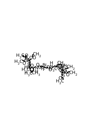 C=CCOC(=O)C(COCNC(C)(CCNC(=O)OCC(F)(F)C(F)(F)COC(=O)NCC1CC(C)(C)CC(C)(NC(=O)OCC(COC(=O)C=C)(COC(=O)C=C)COC(=O)C=C)C1)CC(C)(C)CC)(COC(=O)C=C)COC(=O)C=C